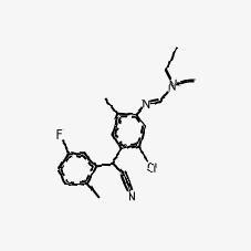 CCN(C)C=Nc1cc(Cl)c(C(C#N)c2cc(F)ccc2C)cc1C